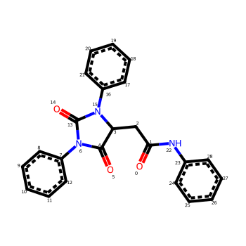 O=C(CC1C(=O)N(c2ccccc2)C(=O)N1c1ccccc1)Nc1ccccc1